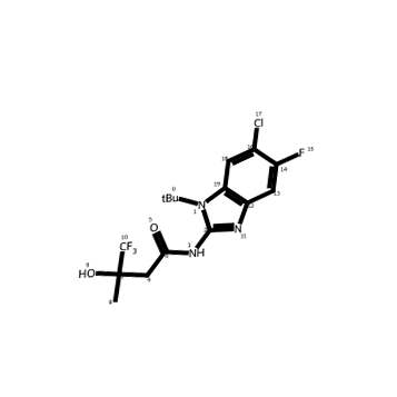 CC(C)(C)n1c(NC(=O)CC(C)(O)C(F)(F)F)nc2cc(F)c(Cl)cc21